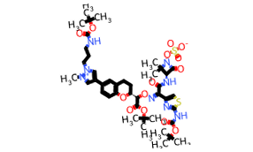 C[n+]1cc(-c2ccc3c(c2)CC[C@H](C(O/N=C(\C(=O)N[C@@H]2C(=O)N(OS(=O)(=O)[O-])C2(C)C)c2csc(NC(=O)OC(C)(C)C)n2)C(=O)OC(C)(C)C)O3)cn1CCCNC(=O)OC(C)(C)C